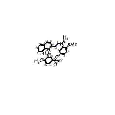 CSc1ccccc1N(C)/C=C/c1ccc2ccccc2[n+]1C.Cc1ccc(S(=O)(=O)[O-])cc1